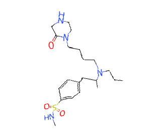 CCCN(CCCCN1CCNCC1=O)C(C)Cc1ccc(S(=O)(=O)NC)cc1